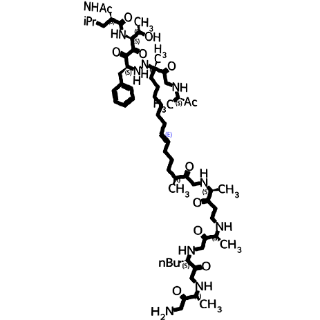 CCCC[C@H](NCC(=O)[C@H](C)NCCC(=O)[C@H](C)NCC(=O)[C@H](C)CCC/C=C/CCCCCC[C@@](C)(NN[C@@H](Cc1ccccc1)C(=O)C(=O)[C@@H](NC(=O)[C@H](CC(C)C)NC(C)=O)[C@@H](C)O)C(=O)CN[C@@H](C)C(C)=O)C(=O)CN[C@@H](C)C(=O)CN